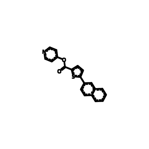 O=C(Oc1ccncc1)c1ccc(-c2ccc3ccccc3c2)s1